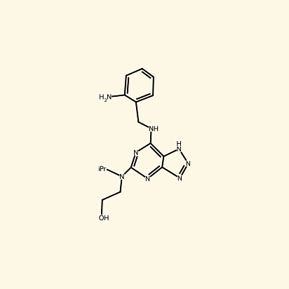 CC(C)N(CCO)c1nc(NCc2ccccc2N)c2[nH]nnc2n1